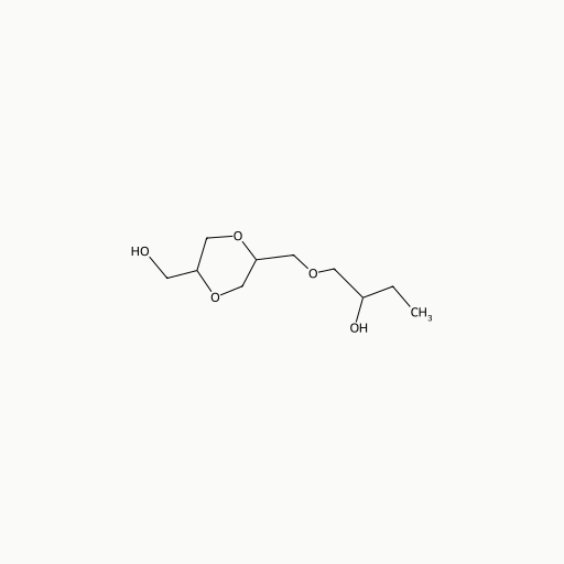 CCC(O)COCC1COC(CO)CO1